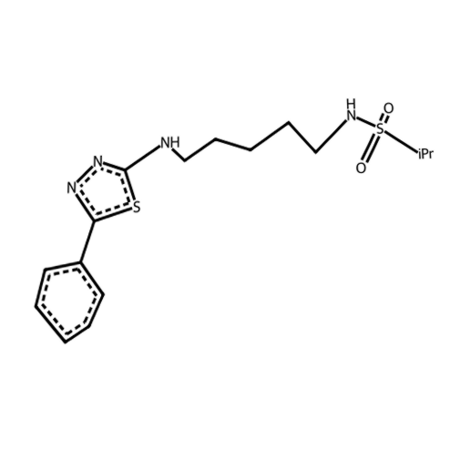 CC(C)S(=O)(=O)NCCCCCNc1nnc(-c2ccccc2)s1